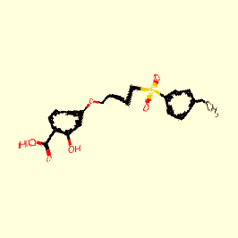 Cc1ccc(S(=O)(=O)CC=CCOc2ccc(C(=O)O)c(O)c2)cc1